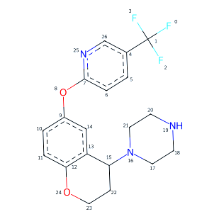 FC(F)(F)c1ccc(Oc2ccc3c(c2)C(N2CCNCC2)CCO3)nc1